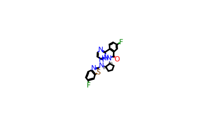 O=C(N[C@@H]1CCC[C@H]1Nc1nc2ccc(F)cc2s1)c1cc(F)ccc1-c1ncccn1